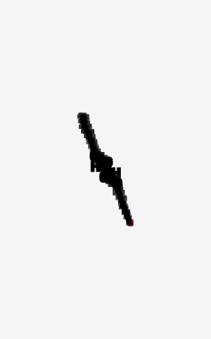 CCCCCCCCCCCCCCCCOc1ccc(C(=O)NCCNC(=O)c2ccc(OCCCCCCCCCCCCCCCC)cc2)cc1